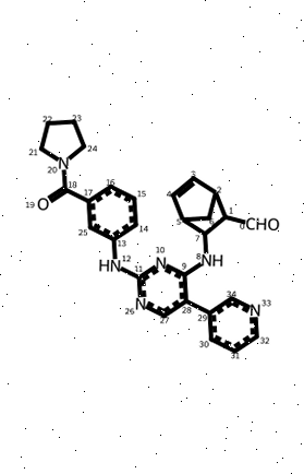 O=CC1C2C=CC(C2)C1Nc1nc(Nc2cccc(C(=O)N3CCCC3)c2)ncc1-c1cccnc1